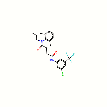 CCCN(C(=O)CCC(=O)Nc1cc(Cl)cc(C(F)(F)F)c1)c1c(C)cccc1C